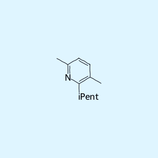 CCCC(C)c1nc(C)ccc1C